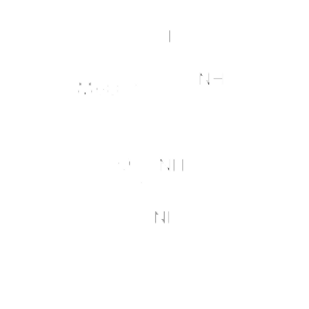 COc1cc(F)c2[nH]c(C)c(CCNC(=O)c3cc4ccccc4[nH]3)c2c1